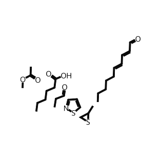 CC1CS1.CCC=O.CCCCC/C=C/C=C/C=O.CCCCCC(=O)O.COC(C)=O.c1cnsc1